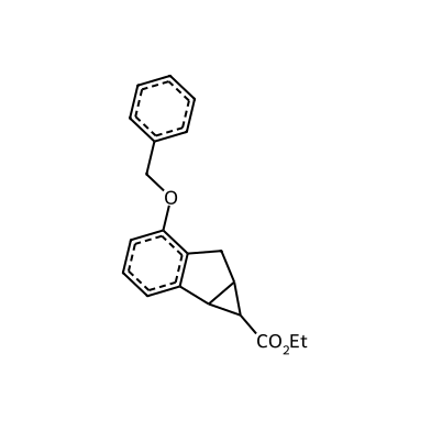 CCOC(=O)C1C2Cc3c(OCc4ccccc4)cccc3C21